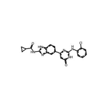 O=C(Nc1nc2cc(-c3cc(=O)[nH]c(Nc4ccccc4Cl)n3)ccc2[nH]1)C1CC1